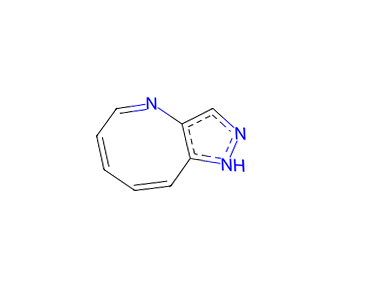 C1=CC=Nc2cn[nH]c2C=C1